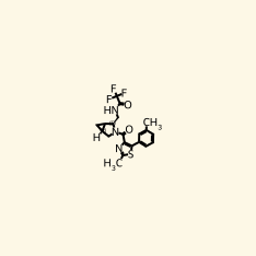 Cc1cccc(-c2sc(C)nc2C(=O)N2C[C@@H]3CC3[C@H]2CNC(=O)C(F)(F)F)c1